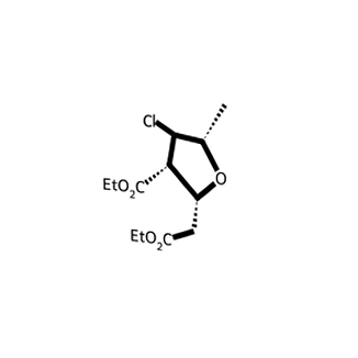 CCOC(=O)C[C@H]1O[C@@H](C)C(Cl)[C@H]1C(=O)OCC